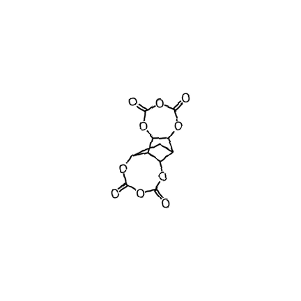 O=C1OC(=O)OC2C3CC(O1)C2C1OC(=O)OC(=O)OC31